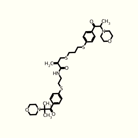 C=C(CSCCCSc1ccc(C(=O)C(C)N2CCOCC2)cc1)C(=O)NCCSc1ccc(C(=O)C(C)(C)N2CCOCC2)cc1